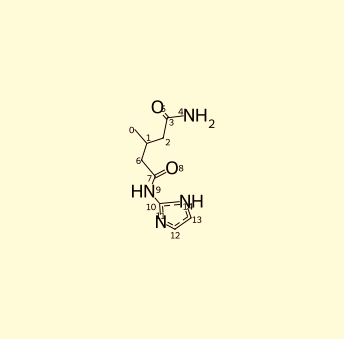 CC(CC(N)=O)CC(=O)Nc1ncc[nH]1